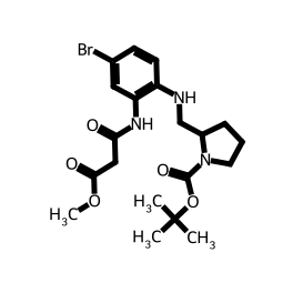 COC(=O)CC(=O)Nc1cc(Br)ccc1NCC1CCCN1C(=O)OC(C)(C)C